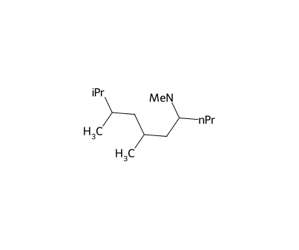 CCCC(CC(C)CC(C)C(C)C)NC